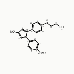 COc1ccc(-n2nc(C#N)cc2-c2ccc(OCCO)cc2)cc1